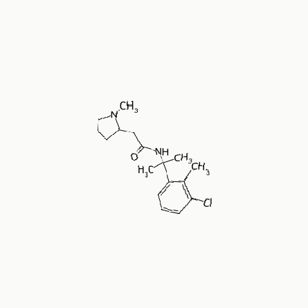 Cc1c(Cl)cccc1C(C)(C)NC(=O)CC1CCCN1C